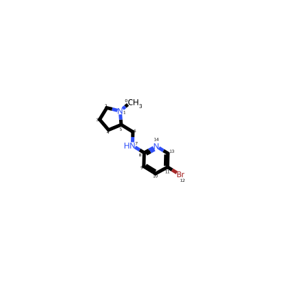 CN1CCCC1CNc1ccc(Br)cn1